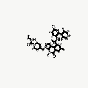 CCNC(=O)N1CCC(Cn2ncc3c4c(C(C)Nc5ccc(Cl)nc5-c5ccncc5F)cc(C)cc4c(=O)n(C)c32)CC1